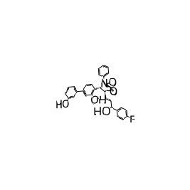 O=S1(=O)[C@@H](CC[C@H](O)c2ccc(F)cc2)[C@@H](c2ccc(-c3cccc(O)c3)cc2O)N1c1ccccc1